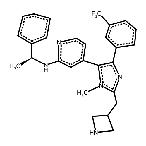 C[C@H](Nc1cc(-c2c(-c3cccc(C(F)(F)F)c3)nc(CC3CNC3)n2C)ccn1)c1ccccc1